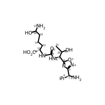 CC(C)[C@H](N)c1noc([C@@H](NC(=O)N[C@@H](CCCC(N)O)C(=O)O)C(C)O)n1